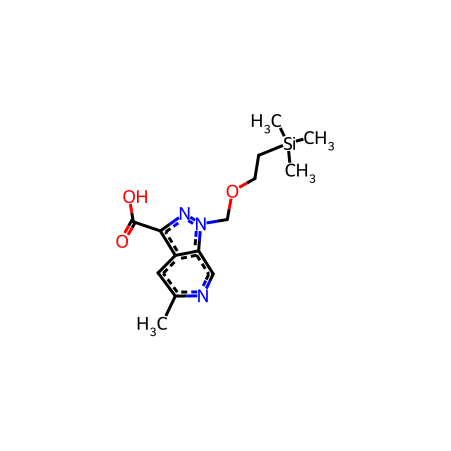 Cc1cc2c(C(=O)O)nn(COCC[Si](C)(C)C)c2cn1